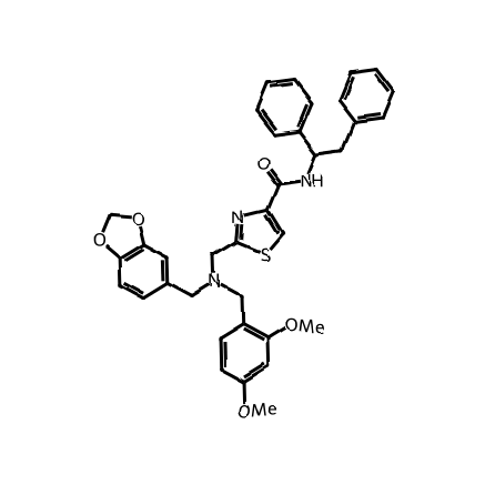 COc1ccc(CN(Cc2ccc3c(c2)OCO3)Cc2nc(C(=O)NC(Cc3ccccc3)c3ccccc3)cs2)c(OC)c1